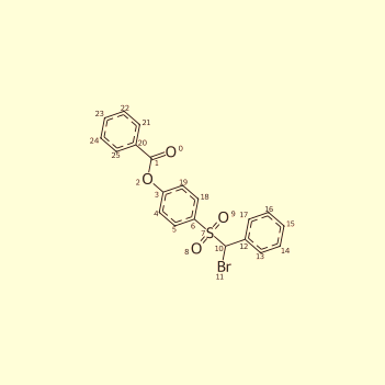 O=C(Oc1ccc(S(=O)(=O)C(Br)c2ccccc2)cc1)c1ccccc1